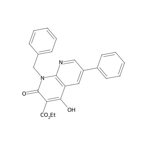 CCOC(=O)c1c(O)c2cc(-c3ccccc3)cnc2n(Cc2ccccc2)c1=O